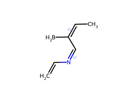 BC(/C=N\C=C)=C/C